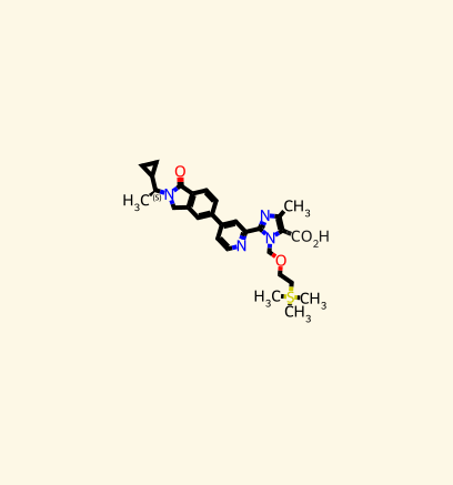 Cc1nc(-c2cc(-c3ccc4c(c3)CN([C@@H](C)C3CC3)C4=O)ccn2)n(COCCS(C)(C)C)c1C(=O)O